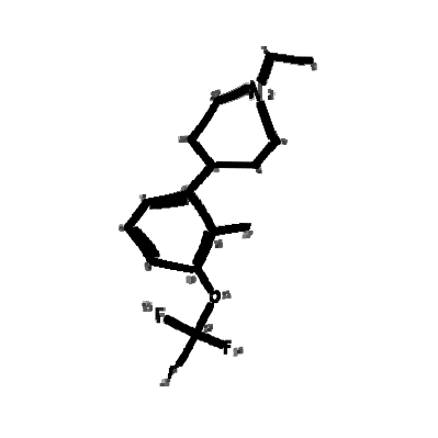 CCN1CCC(c2cccc(OC(F)(F)F)c2C)CC1